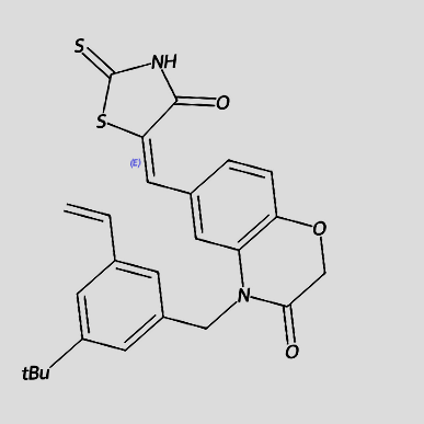 C=Cc1cc(CN2C(=O)COc3ccc(/C=C4/SC(=S)NC4=O)cc32)cc(C(C)(C)C)c1